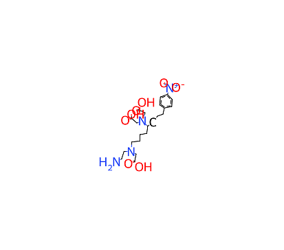 NCCN(CCCCC(CCCc1ccc([N+](=O)[O-])cc1)N(CC(=O)O)CC(=O)O)CC(=O)O